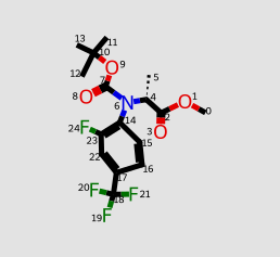 COC(=O)[C@@H](C)N(C(=O)OC(C)(C)C)c1ccc(C(F)(F)F)cc1F